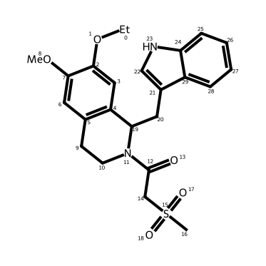 CCOc1cc2c(cc1OC)CCN(C(=O)CS(C)(=O)=O)C2Cc1c[nH]c2ccccc12